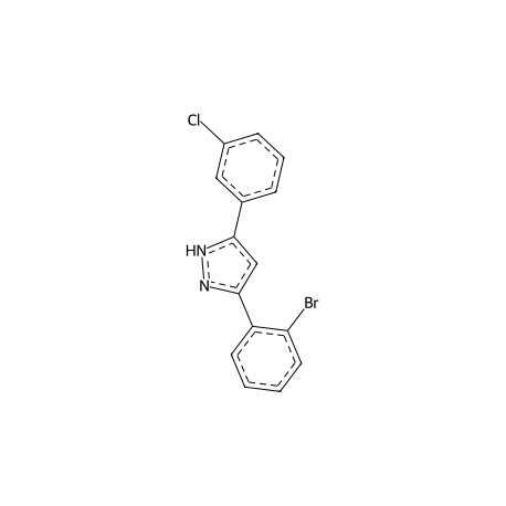 Clc1cccc(-c2cc(-c3ccccc3Br)n[nH]2)c1